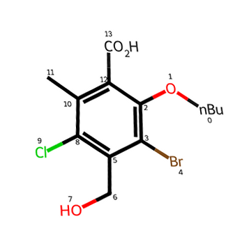 CCCCOc1c(Br)c(CO)c(Cl)c(C)c1C(=O)O